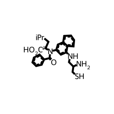 CC(C)C[C@@H](C(=O)O)N(C(=O)c1ccccc1)c1cc(NCC(N)CS)c2ccccc2c1